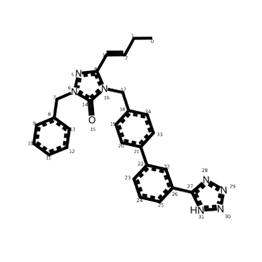 CC/C=C/c1nn(Cc2ccccc2)c(=O)n1Cc1ccc(-c2cccc(-c3nnn[nH]3)c2)cc1